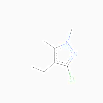 CCc1c(Cl)nn(C)c1C